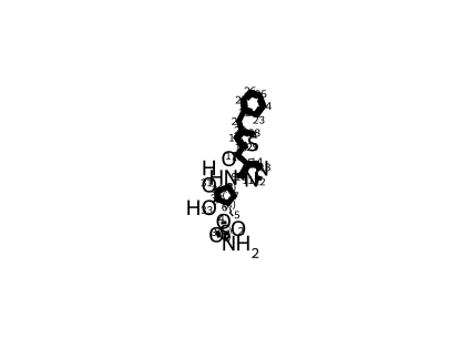 NS(=O)(=O)OC[C@H]1C[C@@H](Nc2ncncc2C(=O)c2cc(Cc3ccccc3)cs2)[C@H](O)[C@@H]1O